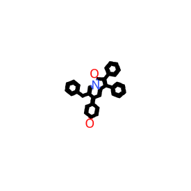 O=C1C=CC(=C2C=C3C(c4ccccc4)=C(c4ccccc4)C(=O)N3C=C2Cc2ccccc2)C=C1